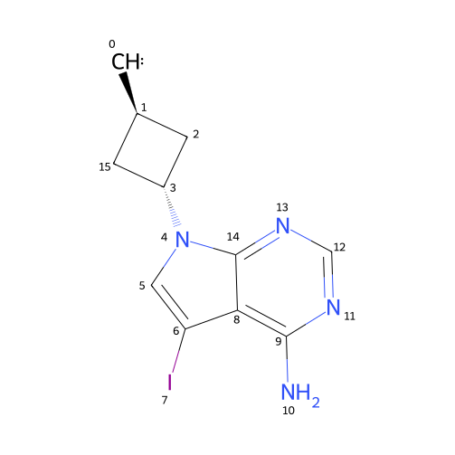 [CH][C@H]1C[C@H](n2cc(I)c3c(N)ncnc32)C1